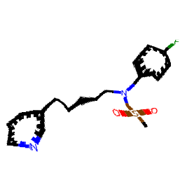 CS(=O)(=O)N(CCCCCc1cccnc1)c1ccc(F)cc1